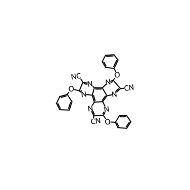 N#Cc1nc2c(nc1Oc1ccccc1)c1nc(C#N)c(Oc3ccccc3)nc1c1nc(C#N)c(Oc3ccccc3)nc21